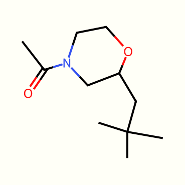 CC(=O)N1CCOC(CC(C)(C)C)C1